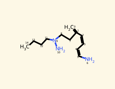 C=C(/C=C\C=C/N)CCN(N)CCCC